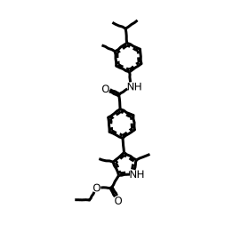 CCOC(=O)c1[nH]c(C)c(-c2ccc(C(=O)Nc3ccc(C(C)C)c(C)c3)cc2)c1C